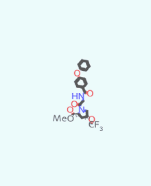 COC(=O)[C@@H]1C[C@@H](OC(F)(F)F)CN1C(=O)CNC(=O)c1ccc(Oc2ccccc2)cc1